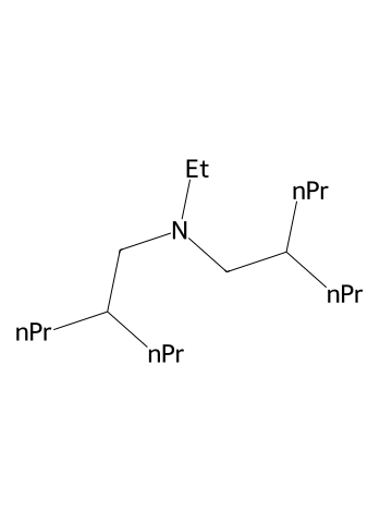 CCCC(CCC)CN(CC)CC(CCC)CCC